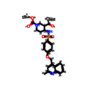 COC(=O)C1CN(C(=O)OC(C)(C)C)CCC1NS(=O)(=O)c1ccc(OCc2cc(C)nc3ccccc23)cc1